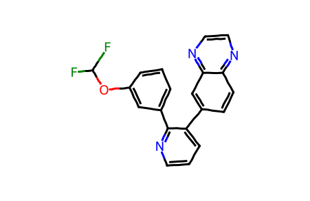 FC(F)Oc1cccc(-c2ncccc2-c2ccc3nccnc3c2)c1